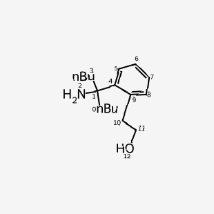 CCCCC(N)(CCCC)c1ccccc1CCO